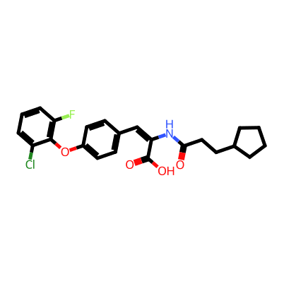 O=C(CCC1CCCC1)N/C(=C/c1ccc(Oc2c(F)cccc2Cl)cc1)C(=O)O